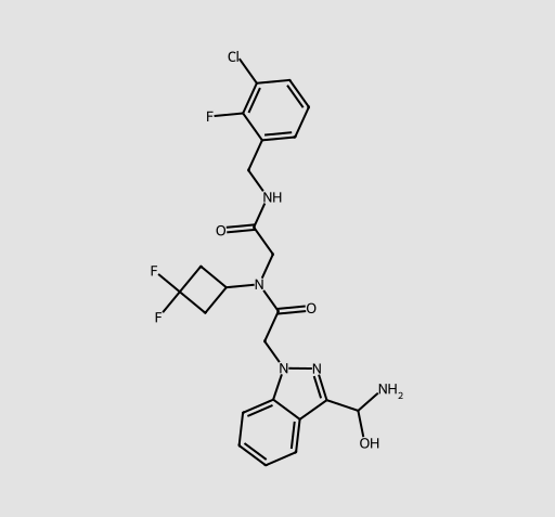 NC(O)c1nn(CC(=O)N(CC(=O)NCc2cccc(Cl)c2F)C2CC(F)(F)C2)c2ccccc12